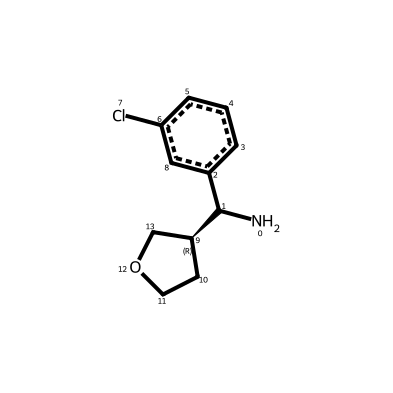 NC(c1cccc(Cl)c1)[C@H]1CCOC1